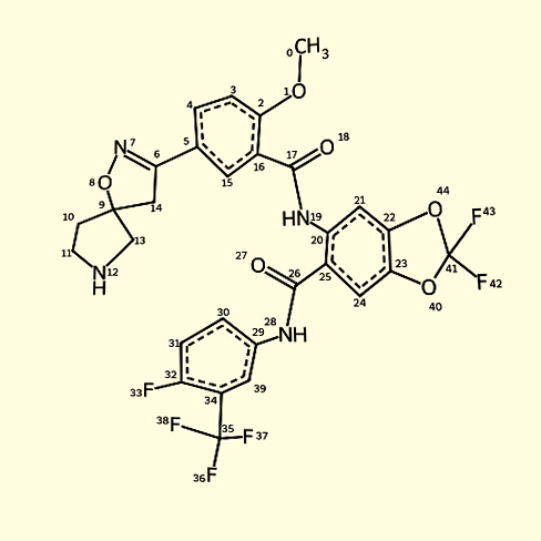 COc1ccc(C2=NOC3(CCNC3)C2)cc1C(=O)Nc1cc2c(cc1C(=O)Nc1ccc(F)c(C(F)(F)F)c1)OC(F)(F)O2